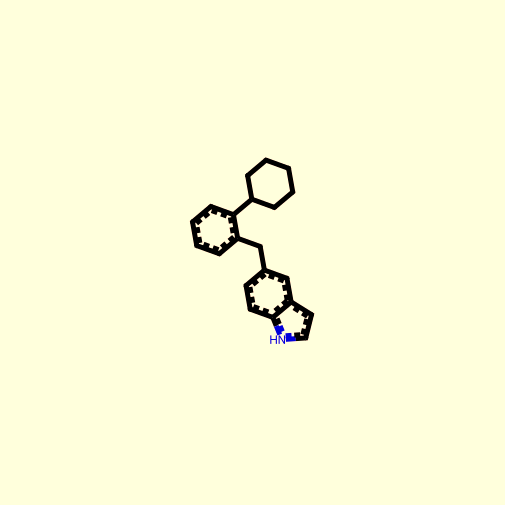 c1ccc(C2CCCCC2)c(Cc2ccc3[nH]ccc3c2)c1